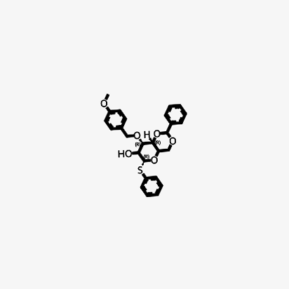 COc1ccc(CO[C@@H]2C(O)[C@@H](Sc3ccccc3)OC3COC(c4ccccc4)O[C@H]32)cc1